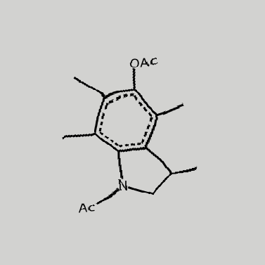 CC(=O)Oc1c(C)c(C)c2c(c1C)C(C)CN2C(C)=O